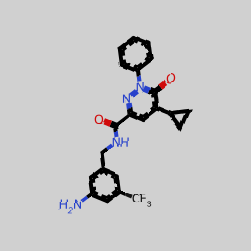 Nc1cc(CNC(=O)c2cc(C3CC3)c(=O)n(-c3ccccc3)n2)cc(C(F)(F)F)c1